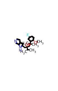 C=C(C)C(O)(Cc1cc2ccncc2[nH]1)CC(C)(C)c1cc(F)ccc1OC